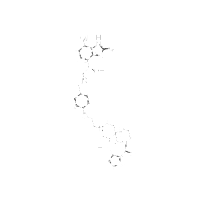 Cc1ccsc1C(=O)N1CCOC2(CCN(CCOc3ccc(CNC[C@H](O)c4ccc(O)c5[nH]c(=O)sc45)cc3)CC2)C1